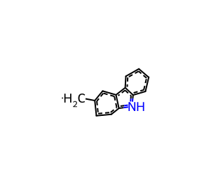 [CH2]c1ccc2[nH]c3ccccc3c2c1